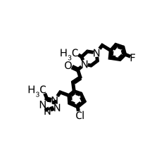 Cc1nnnn1Cc1cc(Cl)ccc1C=CC(=O)N1CCN(Cc2ccc(F)cc2)CC1C